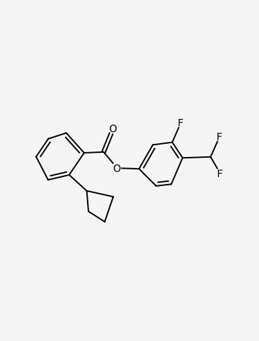 O=C(Oc1ccc(C(F)F)c(F)c1)c1ccccc1C1CCC1